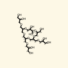 OCC(O)COCC(COCC(COCC(O)CO)OCC(COCC(O)CO)OCC(O)CO)OCC(O)CO